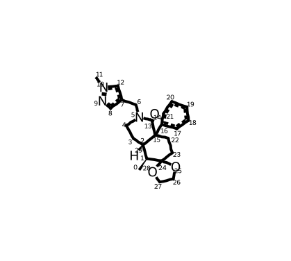 C[C@H]1[C@@H]2CCN(Cc3cnn(C)c3)C(=O)C2(c2ccccc2)CCC12OCCO2